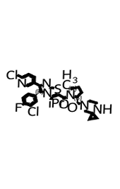 CC(C)C1=C(C(=O)N2[C@H](C)CC[C@H]2C(=O)N2CCNC3(CC3)C2)SC2=NC(c3ccc(Cl)nc3)[C@@H](c3ccc(F)c(Cl)c3)N21